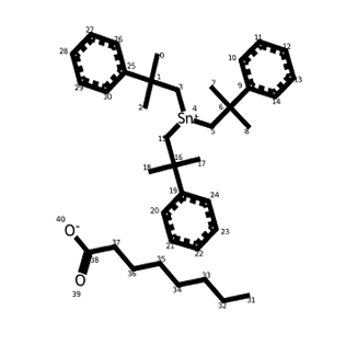 CC(C)([CH2][Sn+]([CH2]C(C)(C)c1ccccc1)[CH2]C(C)(C)c1ccccc1)c1ccccc1.CCCCCCCC(=O)[O-]